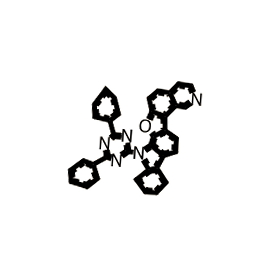 c1ccc(-c2nc(-c3ccccc3)nc(-n3c4ccccc4c4ccc5c(oc6ccc7ccncc7c65)c43)n2)cc1